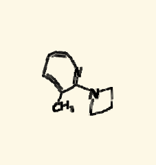 Cc1cccnc1N1CCC1